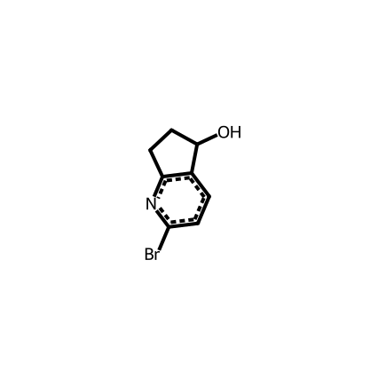 OC1CCc2nc(Br)ccc21